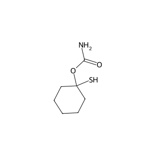 NC(=O)OC1(S)CCCCC1